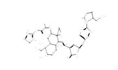 CC(NC1CC2[C@](C)(CC[C@@H](O)[C@@]2(C)CO)C(/C=C/C2=CC(=C\c3cnc(N4CCCC4CO)nc3)/OC2=O)C12CO2)C(=O)NC1=NCC=N1